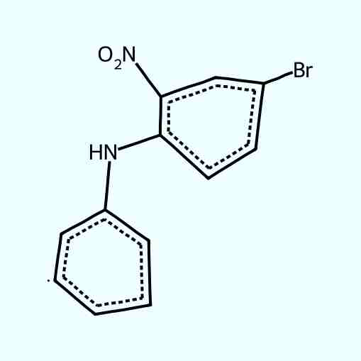 O=[N+]([O-])c1cc(Br)ccc1Nc1c[c]ccc1